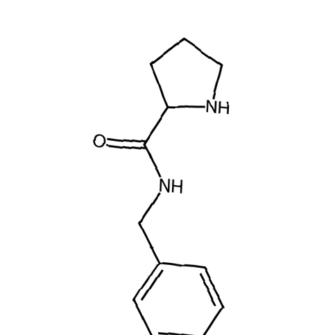 O=C(NCc1ccccc1)C1CCCN1